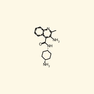 Cc1nc2ccccc2c(C(=O)N[C@H]2CC[C@H](N)CC2)c1N